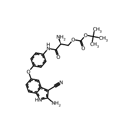 CC(C)(C)OC(=O)OC[C@H](N)C(=O)Nc1ccc(Oc2ccc3[nH]c(N)c(C#N)c3c2)cc1